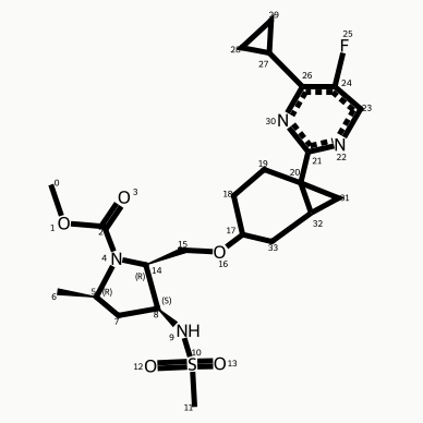 COC(=O)N1[C@H](C)C[C@H](NS(C)(=O)=O)[C@@H]1COC1CCC2(c3ncc(F)c(C4CC4)n3)CC2C1